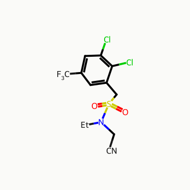 CCN(CC#N)S(=O)(=O)Cc1cc(C(F)(F)F)cc(Cl)c1Cl